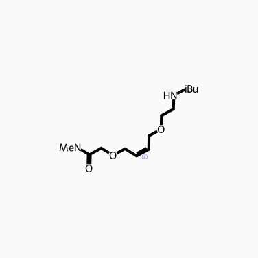 CCC(C)NCCOC/C=C\COCC(=O)NC